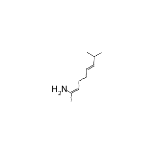 CC(N)=CCC/C=C/C(C)C